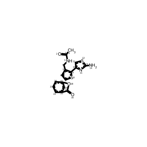 CC(=O)NCc1ccsc1-c1csc(N)n1.O=C1Oc2cccc1c2